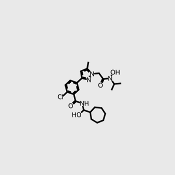 Cc1cc(-c2ccc(Cl)c(C(=O)NC(O)C3CCCCCC3)c2)nn1CC(=O)N(O)C(C)C